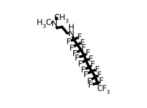 CN(C)CCCNC(F)(F)C(F)(F)C(F)(F)C(F)(F)C(F)(F)C(F)(F)C(F)(F)C(F)(F)C(F)(F)C(F)(F)F